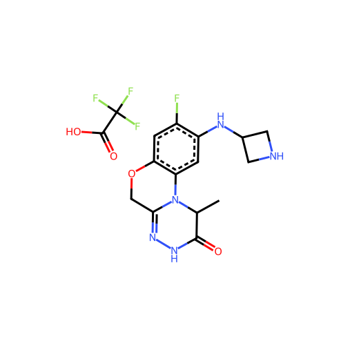 CC1C(=O)NN=C2COc3cc(F)c(NC4CNC4)cc3N21.O=C(O)C(F)(F)F